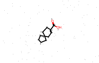 O=C(O)C1=CCC2(CCCC2)CC1